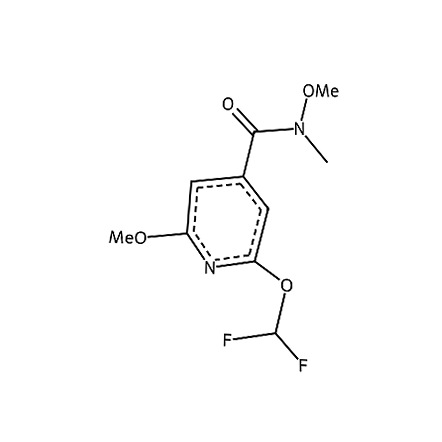 COc1cc(C(=O)N(C)OC)cc(OC(F)F)n1